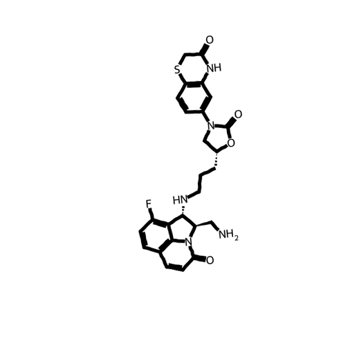 NC[C@@H]1[C@@H](NCCC[C@@H]2CN(c3ccc4c(c3)NC(=O)CS4)C(=O)O2)c2c(F)ccc3ccc(=O)n1c23